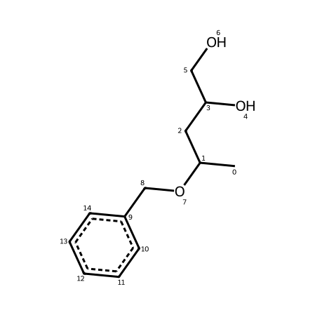 CC(CC(O)CO)OCc1ccccc1